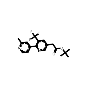 Cc1cc(-c2ncc(CC(=O)OC(C)(C)C)cc2C(F)(F)F)ccn1